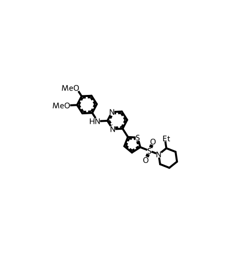 CCC1CCCCN1S(=O)(=O)c1ccc(-c2ccnc(Nc3ccc(OC)c(OC)c3)n2)s1